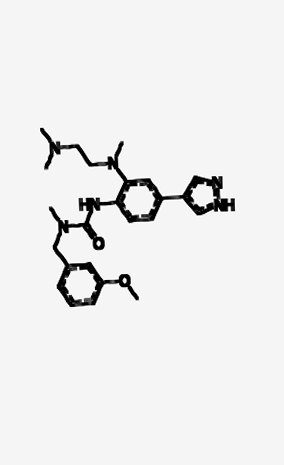 COc1cccc(CN(C)C(=O)Nc2ccc(-c3cn[nH]c3)cc2N(C)CCN(C)C)c1